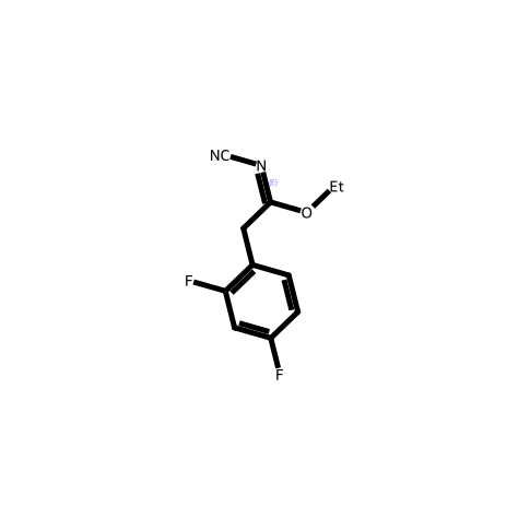 CCO/C(Cc1ccc(F)cc1F)=N/C#N